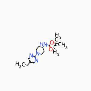 CCc1cnc(N2CCC(NC(=O)OC(C)(C)C)CC2)nc1